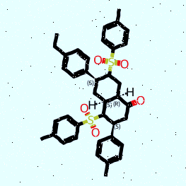 CCc1ccc([C@@H]2C[C@@H]3C(S(=O)(=O)c4ccc(C)cc4)[C@H](c4ccc(C)cc4)CC(=O)[C@@H]3CC2S(=O)(=O)c2ccc(C)cc2)cc1